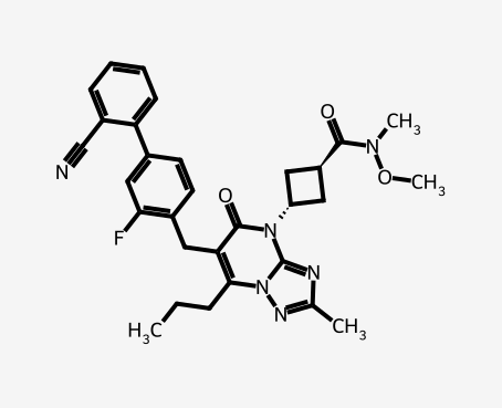 CCCc1c(Cc2ccc(-c3ccccc3C#N)cc2F)c(=O)n([C@H]2C[C@H](C(=O)N(C)OC)C2)c2nc(C)nn12